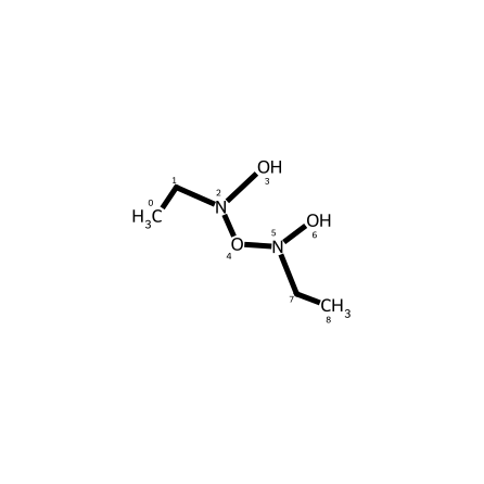 CCN(O)ON(O)CC